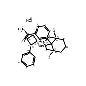 COC1(c2ccnc(C(N)=O)c2)[C@@H]2CCC[C@H]1CN([C@H]1CC[C@@H]1c1ccccc1)C2.Cl